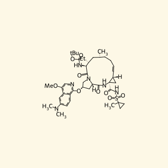 CC[C@@H]1C[C@H](C)CC/C=C\[C@@H]2C[C@@]2(C(=O)NS(=O)(=O)C2(C)CC2)NC(=O)[C@@H]2C[C@@H](Oc3ncc(OC)c4cc(N(C)C)ccc34)CN2C(=O)[C@H]1NC(=O)OC(C)(C)C